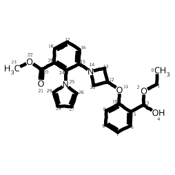 CCOC(O)c1ccccc1OC1CN(c2cccc(C(=O)OC)c2-n2cccc2)C1